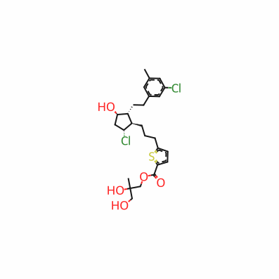 Cc1cc(Cl)cc(CC[C@@H]2[C@@H](CCCc3ccc(C(=O)OCC(C)(O)CO)s3)[C@H](Cl)C[C@H]2O)c1